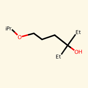 CCC(O)(CC)CCCOC(C)C